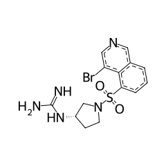 N=C(N)N[C@H]1CCN(S(=O)(=O)c2cccc3cncc(Br)c23)C1